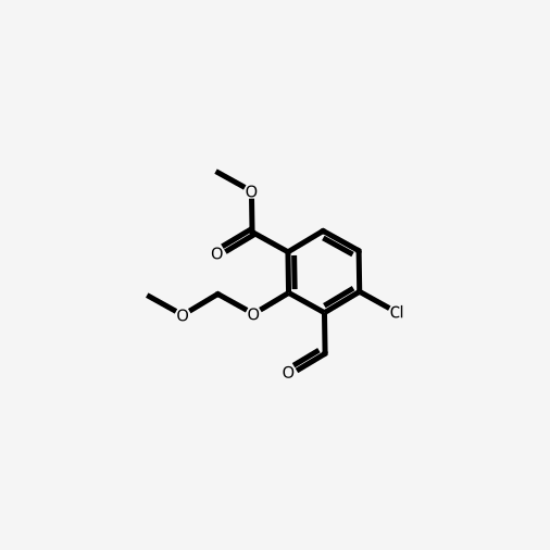 COCOc1c(C(=O)OC)ccc(Cl)c1C=O